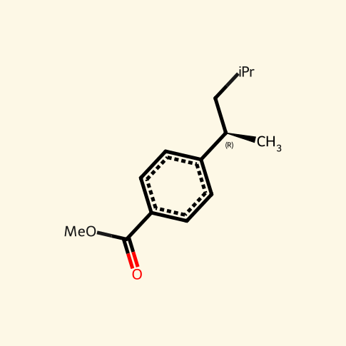 COC(=O)c1ccc([C@H](C)CC(C)C)cc1